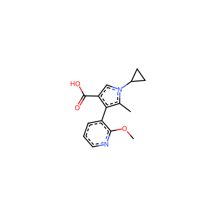 COc1ncccc1-c1c(C(=O)O)cn(C2CC2)c1C